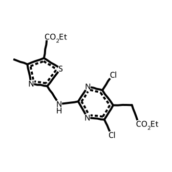 CCOC(=O)Cc1c(Cl)nc(Nc2nc(C)c(C(=O)OCC)s2)nc1Cl